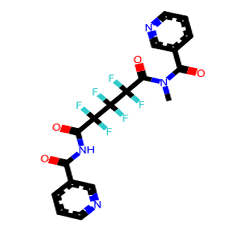 CN(C(=O)c1cccnc1)C(=O)C(F)(F)C(F)(F)C(F)(F)C(=O)NC(=O)c1cccnc1